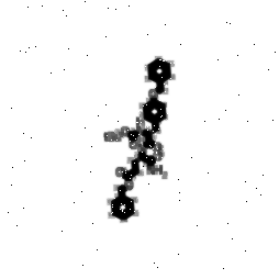 CC(C)(C)OC(=O)N[C@@H](Cc1ccc(OCc2ccccc2)cc1)C(=O)N[C@H](CCC(=O)OCc1ccccc1)C(N)=O